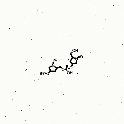 C=P(O)(OCC1CC(OC(C)C)CN1C(C)C)OC1CC(CO)N(C(C)C)C1